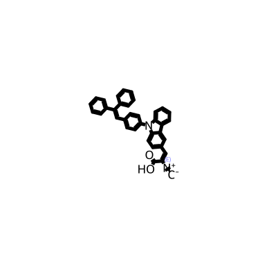 [C-]#[N+]/C(=C/c1ccc2c(c1)c1ccccc1n2-c1ccc(C=C(c2ccccc2)c2ccccc2)cc1)C(=O)O